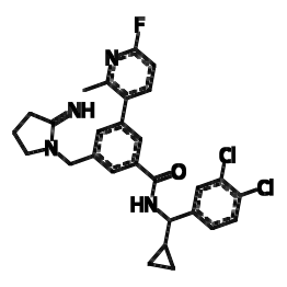 Cc1nc(F)ccc1-c1cc(CN2CCCC2=N)cc(C(=O)NC(c2ccc(Cl)c(Cl)c2)C2CC2)c1